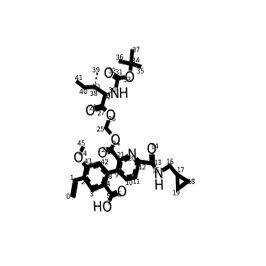 C=Cc1cc(C(=O)O)c(-c2ccc(C(=O)NCC3CC3)nc2C(=O)OCOC(=O)[C@@H](NC(=O)OC(C)(C)C)[C@@H](C)CC)cc1OC